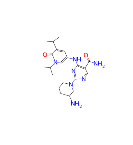 CC(C)c1cc(Nc2nc(N3CCCC(N)C3)ncc2C(N)=O)cn(C(C)C)c1=O